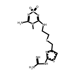 CN1C(N)=NS(=O)(=O)N=C1NCCSCc1csc(NC(=N)N)n1